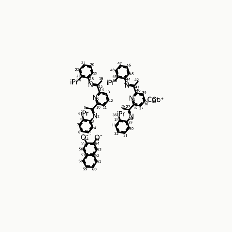 CC(=Nc1ccccc1C(C)C)c1cccc(C(C)=Nc2ccccc2C(C)C)n1.CC(=Nc1ccccc1C(C)C)c1cccc(C(C)=Nc2ccccc2C(C)C)n1.[Co+].[Co+].[O-]c1cc2ccccc2cc1[O-]